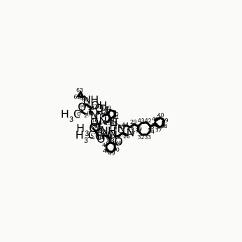 CCC[C@@H](NC(=O)[C@@H]1[C@H]2CCC[C@H]2CN1C(=O)[C@@H](NC(=O)[C@@H](NC(=O)c1cnc(CC2CCCCC(c3ccccc3)CC2)cn1)C1CCCCC1)C(C)(C)C)C(O)C(=O)NC1CC1